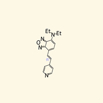 CCN(CC)c1ccc(/C=C/c2ccncc2)c2nonc12